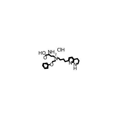 Cl.NC(CCN(CCCCc1ccc2c(n1)NCCC2)CCOc1ccccc1)C(=O)O